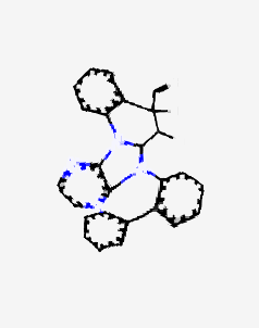 C=CC1(C)c2ccccc2N2c3nccnc3N(c3ccccc3-c3ccccc3)C2C1C